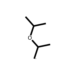 [CH2]C(C)OC(C)C